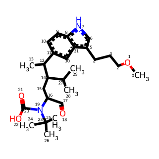 COCCCc1c[nH]c2ccc(C(C)C(CC(C=O)N(C(=O)O)C(C)(C)C)C(C)C)cc12